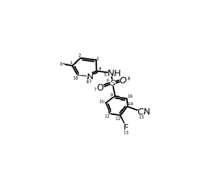 Cc1ccc(NS(=O)(=O)c2ccc(F)c(C#N)c2)nc1